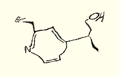 C[C@H](O)c1ccnc(Br)c1